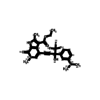 CCOC(=O)c1c(C)[nH]c2c(=O)n(C)cc(C#CC(O)(c3cccc(N(C)C)c3)C(F)(F)F)c12